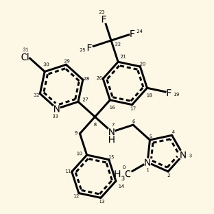 Cn1cncc1CNC(Cc1ccccc1)(c1cc(F)cc(C(F)(F)F)c1)c1ccc(Cl)cn1